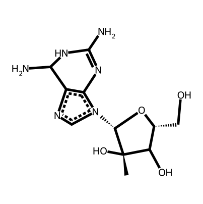 C[C@]1(O)C(O)[C@@H](CO)O[C@H]1n1cnc2c1N=C(N)NC2N